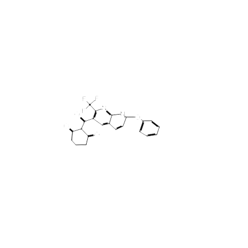 O=C1CCCC(=O)C1C(=O)c1cc2ccc(Oc3ccccc3)nc2nc1C(F)(F)F